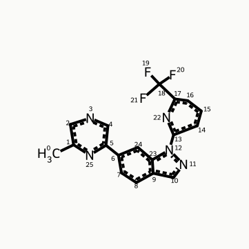 Cc1cncc(-c2ccc3cnn(-c4cccc(C(F)(F)F)n4)c3c2)n1